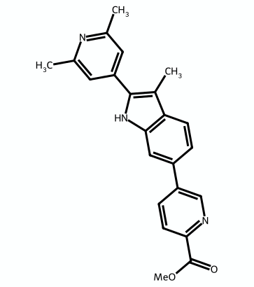 COC(=O)c1ccc(-c2ccc3c(C)c(-c4cc(C)nc(C)c4)[nH]c3c2)cn1